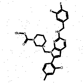 Cc1ccc(-c2cc3cnc(NCc4ccc(F)c(F)c4)nc3n2C[C@@H]2CCCN(C(=O)OC(C)(C)C)C2)c(Cl)c1